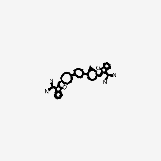 N#CC(C#N)=C1/C(=C/C2CCCCC(C3CCCC(C4CCCC(/C=C5\C(=O)c6ccccc6C5=C(C#N)C#N)CC5CC54)CC3)CCCC2)C(=O)c2ccccc21